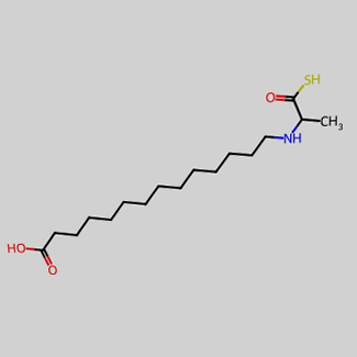 CC(NCCCCCCCCCCCCCC(=O)O)C(=O)S